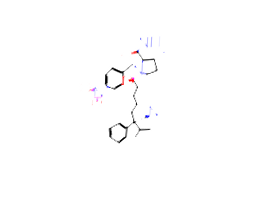 CC(C)[C@@](C#N)(CCCCC(=O)[N@@+]1(Cc2ccc([N+](=O)[O-])cc2)CCCC1C(N)=O)c1ccccc1